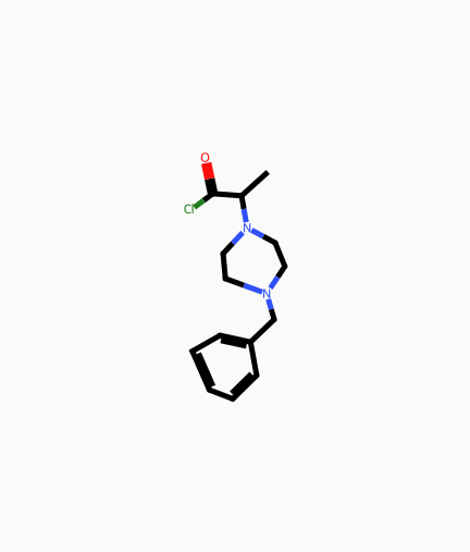 CC(C(=O)Cl)N1CCN(Cc2ccccc2)CC1